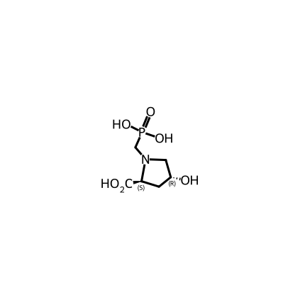 O=C(O)[C@@H]1C[C@@H](O)CN1CP(=O)(O)O